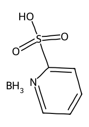 B.O=S(=O)(O)c1ccccn1